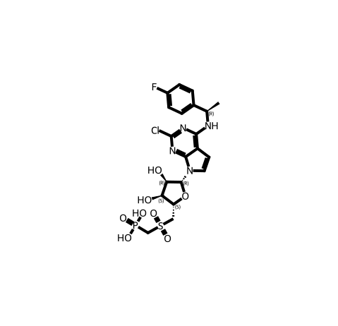 C[C@@H](Nc1nc(Cl)nc2c1ccn2[C@@H]1O[C@H](CS(=O)(=O)CP(=O)(O)O)[C@@H](O)[C@H]1O)c1ccc(F)cc1